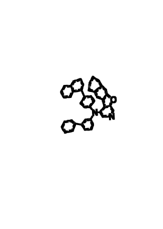 c1ccc(-c2cccc(N(c3ccc(-c4cccc5ccccc45)cc3)c3cncc4oc5cc6ccccc6cc5c34)c2)cc1